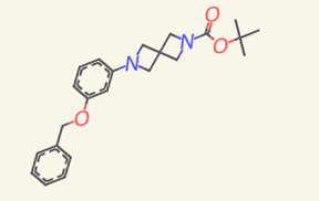 CC(C)(C)OC(=O)N1CC2(C1)CN(c1cccc(OCc3ccccc3)c1)C2